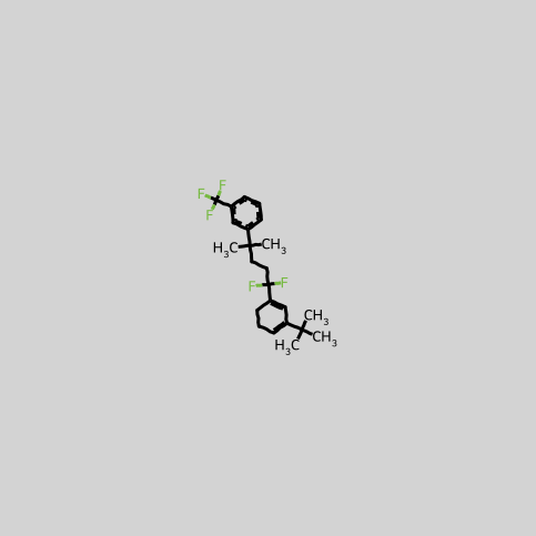 CC(C)(C)C1=CCCC(C(F)(F)CCC(C)(C)c2cccc(C(F)(F)F)c2)=C1